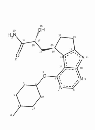 CC1CCC(Oc2ncnc3sc4c(c23)[C@@H](C[C@@H](O)C(N)=O)CC4)CC1